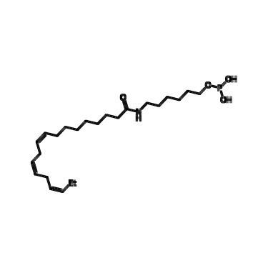 CC/C=C\C/C=C\C/C=C\CCCCCCCC(=O)NCCCCCCOP(O)O